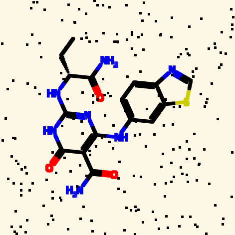 CC[C@@H](Nc1nc(Nc2ccc3ncsc3c2)c(C(N)=O)c(=O)[nH]1)C(N)=O